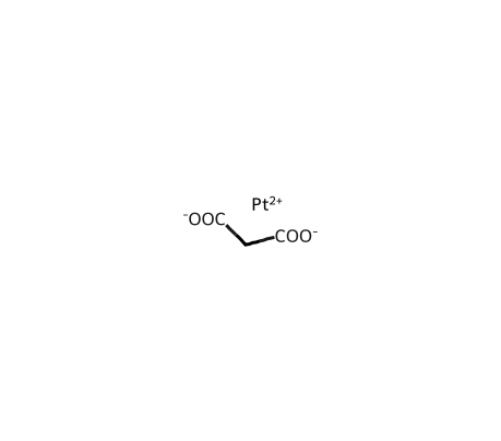 O=C([O-])CC(=O)[O-].[Pt+2]